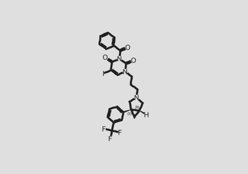 O=C(c1ccccc1)n1c(=O)c(I)cn(CCCN2C[C@@H]3C[C@]3(c3cccc(C(F)(F)F)c3)C2)c1=O